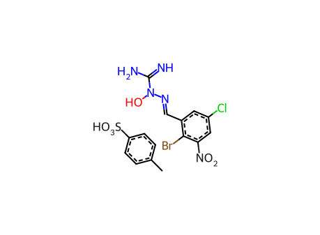 Cc1ccc(S(=O)(=O)O)cc1.N=C(N)N(O)/N=C/c1cc(Cl)cc([N+](=O)[O-])c1Br